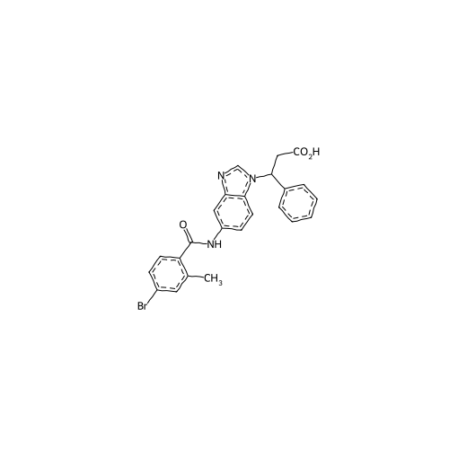 Cc1cc(Br)ccc1C(=O)Nc1ccc2c(c1)ncn2C(CC(=O)O)c1ccccc1